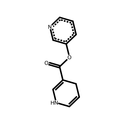 O=C(Oc1cccnc1)C1=CNC=CC1